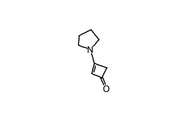 O=C1C=C(N2CCCC2)C1